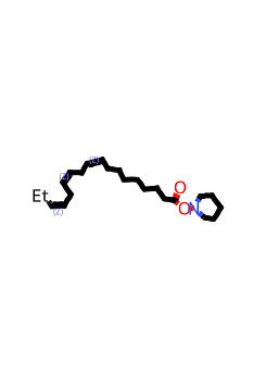 CC/C=C\C/C=C\C/C=C\CCCCCCCC(=O)ON1CCCCC1